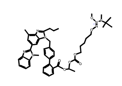 CCCc1nc2c(C)cc(-c3nc4ccccc4n3C)cc2n1Cc1ccc(-c2ccccc2C(=O)OC(C)OC(=O)OCCCCCO/N=[N+](\OC)N(C)C(C)(C)C)cc1